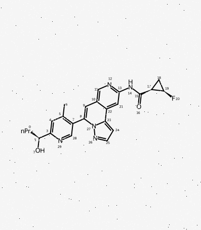 CCC[C@H](O)c1cc(C)c(-c2cc3cnc(NC(=O)[C@H]4C[C@H]4F)cc3c3ccnn23)cn1